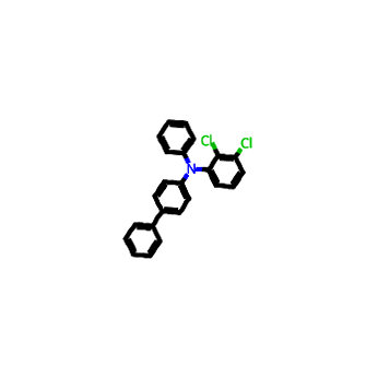 Clc1cccc(N(c2ccccc2)c2ccc(-c3ccccc3)cc2)c1Cl